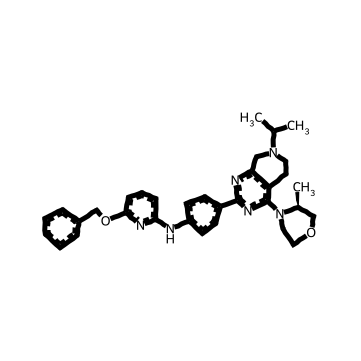 CC(C)N1CCc2c(nc(-c3ccc(Nc4cccc(OCc5ccccc5)n4)cc3)nc2N2CCOC[C@@H]2C)C1